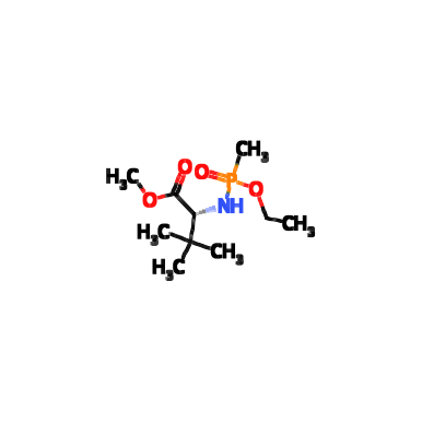 CCOP(C)(=O)N[C@@H](C(=O)OC)C(C)(C)C